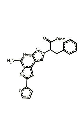 COC(=O)C(Cc1ccccc1)n1cc2c(nc(N)n3nc(-c4ccco4)nc23)n1